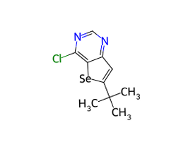 CC(C)(C)c1cc2ncnc(Cl)c2[se]1